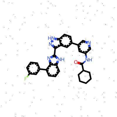 O=C(Nc1cncc(-c2ccc3[nH]nc(-c4nc5c(-c6cccc(F)c6)cccc5[nH]4)c3c2)c1)C1CCCCC1